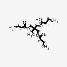 CCCC(=O)OCC(CC)(COC(=O)CCC)COC(O)CCC